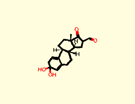 C[C@]12CC[C@@H]3C4=CCC(O)(O)C=C4CC[C@H]3[C@@H]1CC(C=O)C2=O